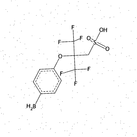 Bc1ccc(OC(CS(=O)(=O)O)(C(F)(F)F)C(F)(F)F)cc1